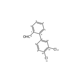 O=Cc1ccccc1-c1ccc(Cl)c(Cl)c1